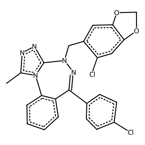 Cc1nnc2n1-c1ccccc1C(c1ccc(Cl)cc1)=NN2Cc1cc2c(cc1Cl)OCO2